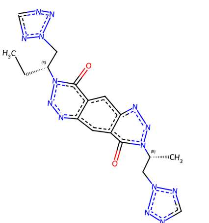 CC[C@H](Cn1ncnn1)n1nnc2cc3c(=O)n([C@H](C)Cn4ncnn4)nnc3cc2c1=O